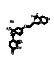 Cl.Cn1nc(C2CCC(=O)NC2=O)c2ccc(OCCCN3CCNCC3C(F)(F)F)cc21